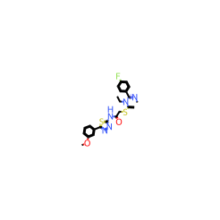 C=C(SCC(=O)Nc1nnc(-c2cccc(OC)c2)s1)N(CC)/C(=N\C)c1ccc(F)cc1